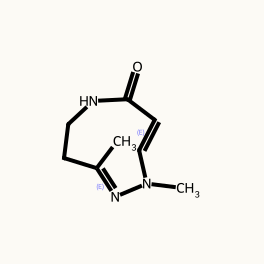 C/C1=N\N(C)/C=C/C(=O)NCC1